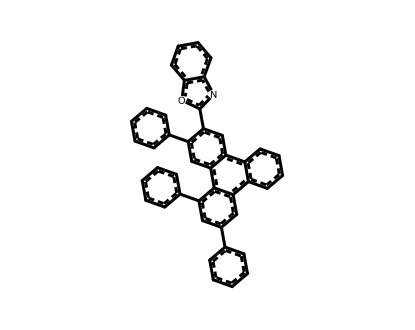 c1ccc(-c2cc(-c3ccccc3)c3c(c2)c2ccccc2c2cc(-c4nc5ccccc5o4)c(-c4ccccc4)cc23)cc1